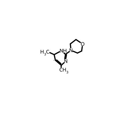 CC1=[C]C(C)NC(N2CCOCC2)=N1